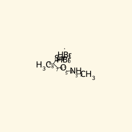 Br.Br.CCNCOC[CH](C)[Sn]